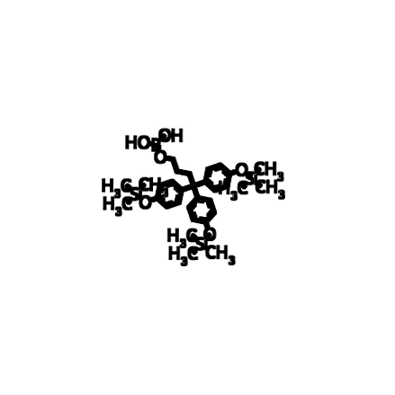 C[Si](C)(C)Oc1ccc(C(CCCOB(O)O)(c2ccc(O[Si](C)(C)C)cc2)c2ccc(O[Si](C)(C)C)cc2)cc1